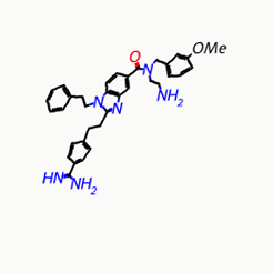 COc1cccc(CN(CCN)C(=O)c2ccc3c(c2)nc(CCc2ccc(C(=N)N)cc2)n3CCc2ccccc2)c1